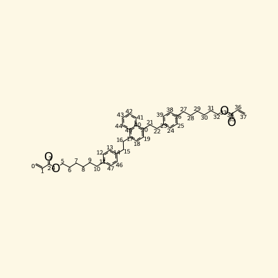 C=CC(=O)OCCCCCCc1ccc(CCc2ccc(CCc3ccc(CCCCCCOC(=O)C=C)cc3)c3ccccc23)cc1